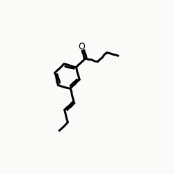 CC/C=C/c1cccc(C(=O)CCC)c1